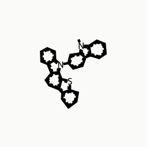 Cn1c2ccccc2c2ccc(-n3c4ccccc4c4ccc5c6ccccc6sc5c43)cc21